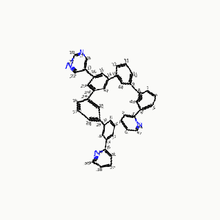 c1ccc(-c2cccc(-c3cccc(-c4cc(-c5cncnc5)cc(-c5cccc(-c6cccc(-c7ccccn7)c6)c5)c4)c3)c2)nc1